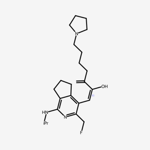 C=C(CCCCN1CCCC1)/C(O)=C\c1c(CF)nc(NC(C)C)c2c1CCC2